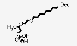 CCCCCCCCCCCCCCCCCCOCCOC(C)COP(=O)(O)O